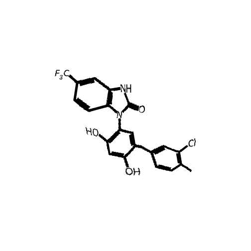 Cc1ccc(-c2cc(-n3c(=O)[nH]c4cc(C(F)(F)F)ccc43)c(O)cc2O)cc1Cl